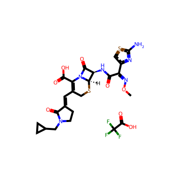 CO/N=C(\C(=O)N[C@@H]1C(=O)N2C(C(=O)O)=C(/C=C3\CCN(CC4CC4)C3=O)CS[C@H]12)c1csc(N)n1.O=C(O)C(F)(F)F